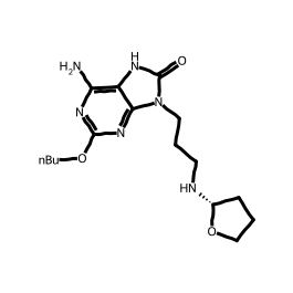 CCCCOc1nc(N)c2[nH]c(=O)n(CCCN[C@@H]3CCCO3)c2n1